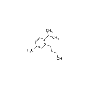 Cc1ccc(C(C)C)c(CCCO)c1